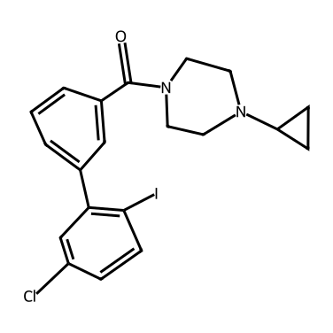 O=C(c1cccc(-c2cc(Cl)ccc2I)c1)N1CCN(C2CC2)CC1